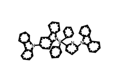 c1ccc([Si](c2ccccc2)(c2cccc(-n3c4ccccc4c4ccccc43)n2)n2c3ccccc3c3cc(-n4c5ccccc5c5ccccc54)ccc32)cc1